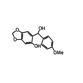 COc1ccc(C(O)c2cc3c(cc2O)OCO3)cc1